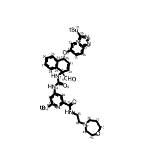 CC(C)(C)c1cc(NC(=O)N[C@@]2(C=O)C=C[C@@H](Oc3ccc4nnc(C(C)(C)C)n4c3)c3ccccc32)cc(C(=O)NCCN2CCCOCC2)n1